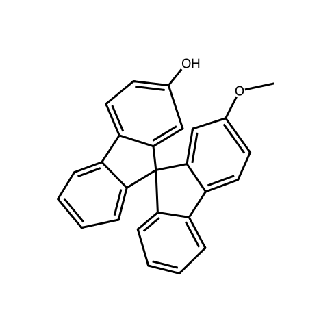 COc1ccc2c(c1)C1(c3ccccc3-c3ccc(O)cc31)c1ccccc1-2